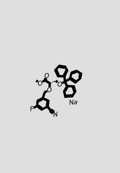 COC(=O)[C@H](COC(c1ccccc1)(c1ccccc1)c1ccccc1)OCc1cc(F)cc(C#N)c1.[Na]